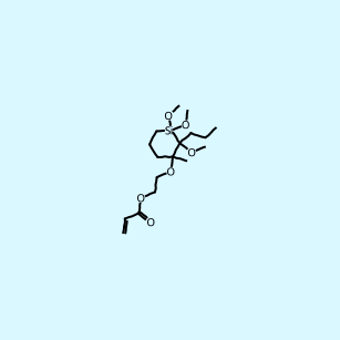 C=CC(=O)OCCOC1(C)CCC[Si](OC)(OC)C1(CCC)OC